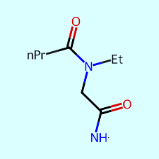 CCCC(=O)N(CC)CC([NH])=O